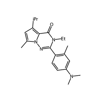 CCn1c(-c2ccc(N(C)C)cc2C)nn2c(C)cc(C(C)C)c2c1=O